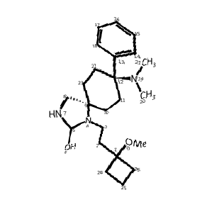 COC1(CCN2C(O)NC[C@]23CC[C@](c2ccccc2)(N(C)C)CC3)CCC1